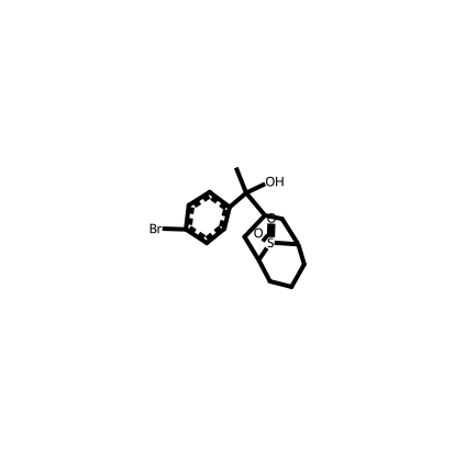 CC(O)(c1ccc(Br)cc1)C1CC2CCCC(C1)S2(=O)=O